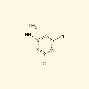 NNc1cc(Cl)nc(Cl)c1